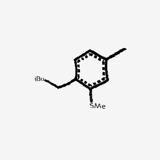 CCC(C)Cc1ccc(C)cc1SC